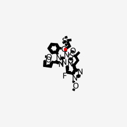 COCn1cnc2c(CC(C)S(=O)(=O)N(CC[Si](C)(C)C)c3nnc(-c4ccco4)n3-c3c(OC)cccc3OC)ncc(F)c21